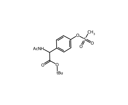 CC(=O)NC(C(=O)OC(C)(C)C)c1ccc(OS(C)(=O)=O)cc1